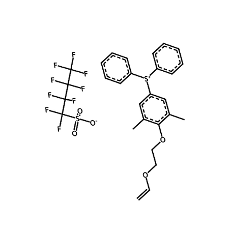 C=COCCOc1c(C)cc([S+](c2ccccc2)c2ccccc2)cc1C.O=S(=O)([O-])C(F)(F)C(F)(F)C(F)(F)C(F)(F)F